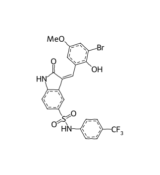 COc1cc(Br)c(O)c(C=C2C(=O)Nc3ccc(S(=O)(=O)Nc4ccc(C(F)(F)F)cc4)cc32)c1